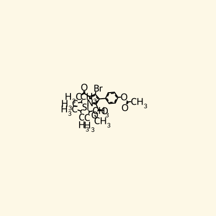 COC(=O)c1c(-c2ccc(OC(C)=O)cc2)c(Br)c(C(C)=O)n1[Si](C(C)C)(C(C)C)C(C)C